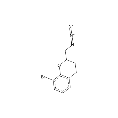 [N-]=[N+]=NCC1CCc2cccc(Br)c2O1